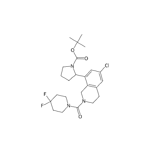 CC(C)(C)OC(=O)N1CCCC1c1cc(Cl)cc2c1CN(C(=O)N1CCC(F)(F)CC1)CC2